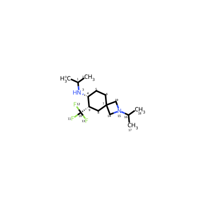 CC(C)N[C@@H]1CCC2(C[C@@H]1C(F)(F)F)CN(C(C)C)C2